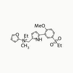 CC[N+](C)(Cc1ccc(-c2cc(S(=O)(=O)CC)ccc2OC)[nH]1)c1ccco1